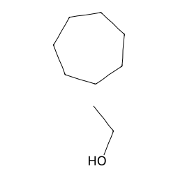 C1CCCCCC1.CCO